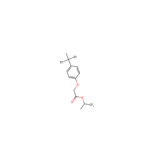 CCC(C)(CC)c1ccc(OCC(=O)OC(C)C(F)(F)F)cc1